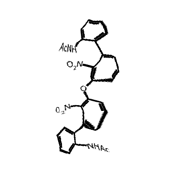 CC(=O)Nc1ccccc1-c1cccc(Oc2cccc(-c3ccccc3NC(C)=O)c2[N+](=O)[O-])c1[N+](=O)[O-]